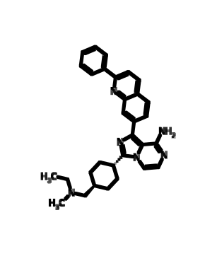 CCN(C)C[C@H]1CC[C@H](c2nc(-c3ccc4ccc(-c5ccccc5)nc4c3)c3c(N)nccn32)CC1